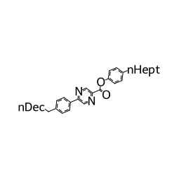 CCCCCCCCCCCc1ccc(-c2cnc(C(=O)Oc3ccc(CCCCCCC)cc3)cn2)cc1